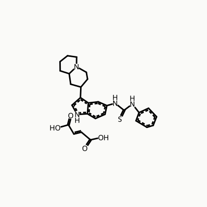 O=C(O)C=CC(=O)O.S=C(Nc1ccccc1)Nc1ccc2[nH]cc(C3CCN4CCCCC4C3)c2c1